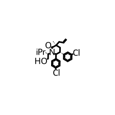 C=CC[C@@]1(C)C[C@H](c2cccc(Cl)c2)C(c2ccc(Cl)cc2)N([C@H](CO)C(C)C)C1=O